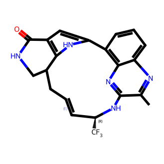 Cc1nc2cccc3c2nc1N[C@@H](C(F)(F)F)/C=C/CC1CNC(=O)c2cc-3[nH]c21